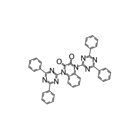 O=c1c(=O)n(-c2nc(-c3ccccc3)nc(-c3ccccc3)n2)c2ccccc2n1-c1nc(-c2ccccc2)nc(-c2ccccc2)n1